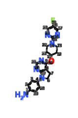 Nc1ccc(N2CCc3c(OC4CCN(c5ncc(F)cn5)CC4)ncnc32)cc1